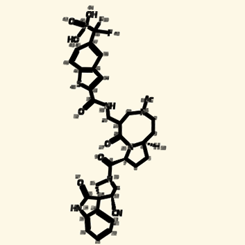 CC(=O)N1CC[C@H]2CC[C@@H](C(=O)N3C[C@@H](C#N)[C@]4(C3)C(=O)Nc3ccccc34)N2C(=O)C(CNC(=O)c2cc3cc(C(F)(F)P(=O)(O)O)ccc3s2)C1